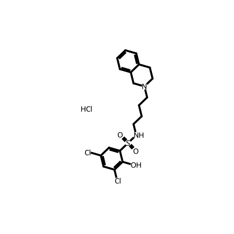 Cl.O=S(=O)(NCCCCN1CCc2ccccc2C1)c1cc(Cl)cc(Cl)c1O